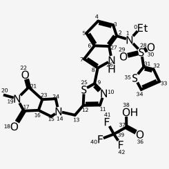 CCN(c1cccc2cc(-c3ncc(CN4CC5C(=O)N(C)C(=O)C5C4)s3)[nH]c12)S(=O)(=O)c1cccs1.O=C(O)C(F)(F)F